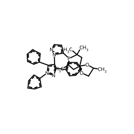 CC1COC2(CC(C)P(c3ccnn3-c3c(-c4ccccc4)nn(-c4ccccc4)c3-c3ccccc3)C(C)(C)C2)O1